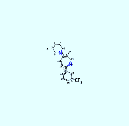 CC1=C(N2CCC[C@@H](C)C2)C=CC(c2cccc(C(F)(F)F)c2)=NC1